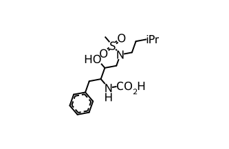 CC(C)CCN(CC(O)C(Cc1ccccc1)NC(=O)O)S(C)(=O)=O